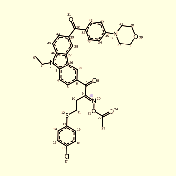 CCn1c2ccc(C(=O)/C(CCSc3ccc(Cl)cc3)=N/OC(C)=O)cc2c2cc(C(=O)c3ccc(N4CCOCC4)cc3)ccc21